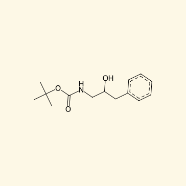 CC(C)(C)OC(=O)NCC(O)Cc1ccccc1